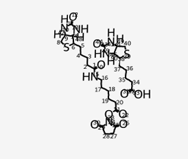 O=C(CCCCC1SC[C@@H]2NC(=O)N[C@H]12)NCCCCCC(=O)ON1C(=O)CCC1=O.O=C(O)CCCC[C@@H]1SC[C@@H]2NC(=O)N[C@@H]21